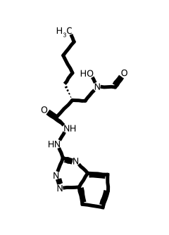 CCCCC[C@H](CN(O)C=O)C(=O)NNc1nnc2ccccc2n1